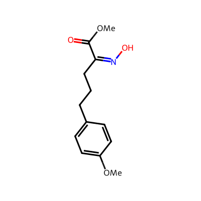 COC(=O)C(CCCc1ccc(OC)cc1)=NO